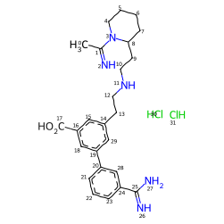 CC(=N)N1CCCCC1CCNCCc1cc(C(=O)O)cc(-c2cccc(C(=N)N)c2)c1.Cl.Cl